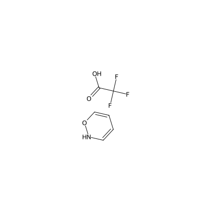 C1=CNOC=C1.O=C(O)C(F)(F)F